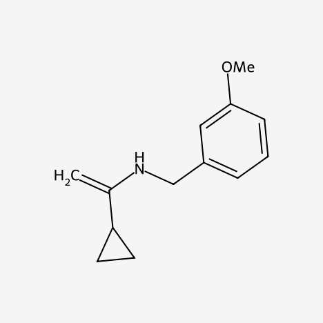 C=C(NCc1cccc(OC)c1)C1CC1